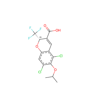 CC(C)Oc1c(Cl)cc2c(c1Cl)C=C(C(=O)O)[C@@H](C(F)(F)F)O2